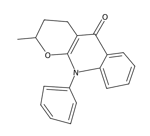 CC1CCc2c(n(-c3ccccc3)c3ccccc3c2=O)O1